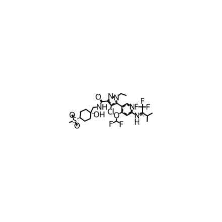 CCn1nc(C(=O)NC[C@]2(O)CC[C@@H](S(C)(=O)=O)CC2)c(Cl)c1-c1cnc(N[C@H](C(C)C)C(F)(F)F)cc1OC(F)F